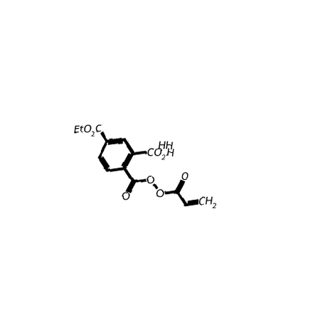 C=CC(=O)OOC(=O)c1ccc(C(=O)OCC)cc1C(=O)O.[HH]